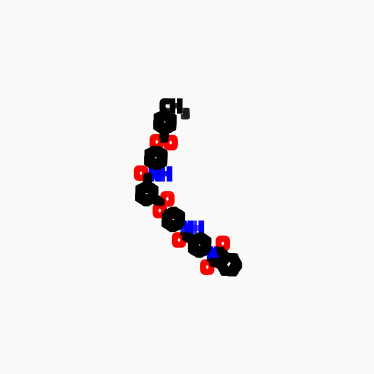 Cc1ccc(C(=O)Oc2ccc(NC(=O)c3cccc(C(=O)Oc4ccc(NC(=O)c5ccc(N6C(=O)C7CC=CCC7C6=O)cc5)cc4)c3)cc2)cc1